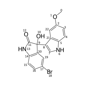 COc1ccc2[nH]cc(C3(O)C(=O)Nc4ccc(Br)cc43)c2c1